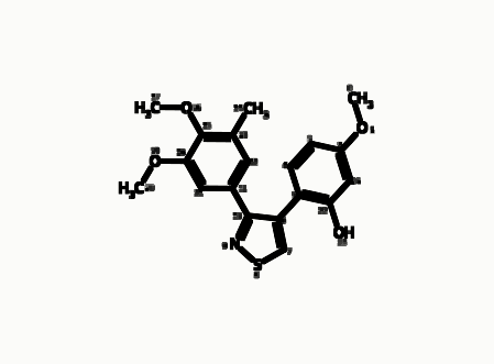 COc1ccc(-c2csnc2-c2cc(C)c(OC)c(OC)c2)c(O)c1